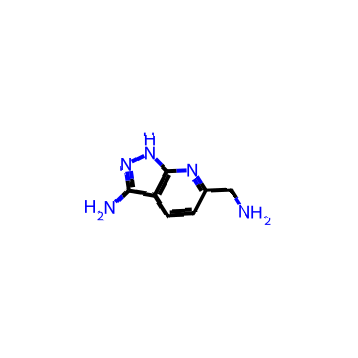 NCc1ccc2c(N)n[nH]c2n1